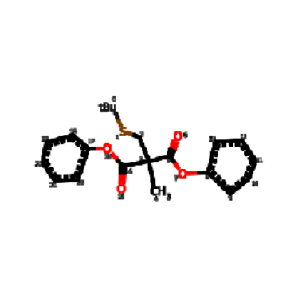 CC(C)(C)SCC(C)(C(=O)Oc1ccccc1)C(=O)Oc1ccccc1